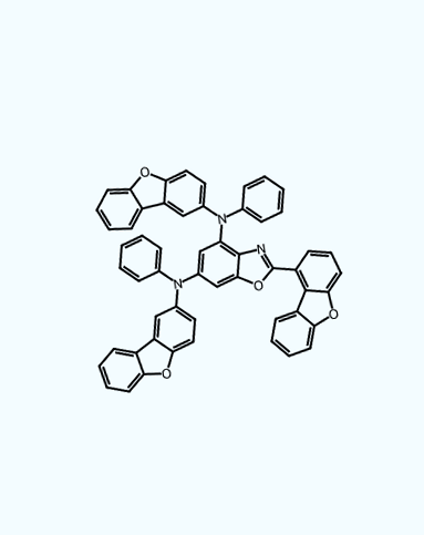 c1ccc(N(c2cc(N(c3ccccc3)c3ccc4oc5ccccc5c4c3)c3nc(-c4cccc5oc6ccccc6c45)oc3c2)c2ccc3oc4ccccc4c3c2)cc1